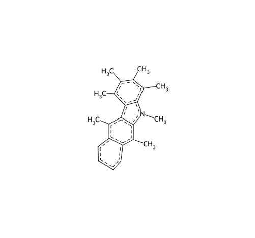 Cc1c(C)c(C)c2c(c1C)c1c(C)c3ccccc3c(C)c1n2C